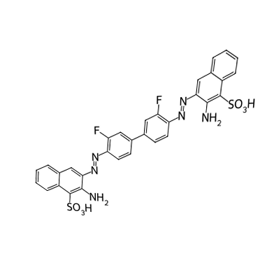 Nc1c(/N=N/c2ccc(-c3ccc(/N=N/c4cc5ccccc5c(S(=O)(=O)O)c4N)c(F)c3)cc2F)cc2ccccc2c1S(=O)(=O)O